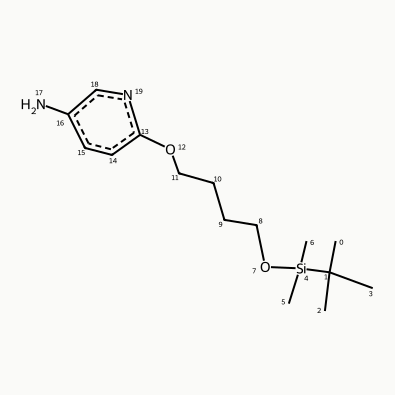 CC(C)(C)[Si](C)(C)OCCCCOc1ccc(N)cn1